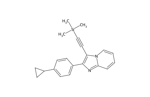 C[Si](C)(C)C#Cc1c(-c2ccc(C3CC3)cc2)nc2ccccn12